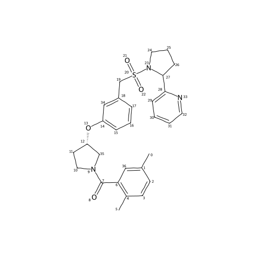 Cc1ccc(C)c(C(=O)N2CC[C@H](Oc3cccc(CS(=O)(=O)N4CCCC4c4ccccn4)c3)C2)c1